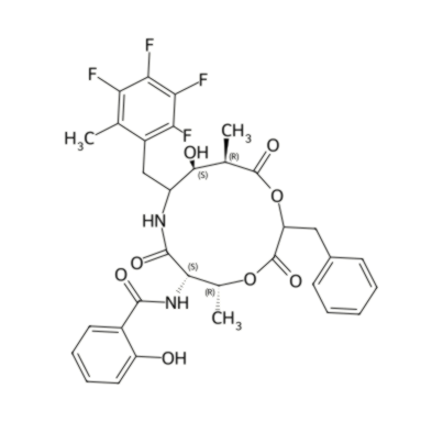 Cc1c(F)c(F)c(F)c(F)c1CC1NC(=O)[C@@H](NC(=O)c2ccccc2O)[C@@H](C)OC(=O)C(Cc2ccccc2)OC(=O)[C@H](C)[C@@H]1O